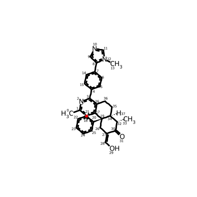 Cc1nc(-c2ccc(-c3cncn3C)cc2)c2c(n1)[C@@]1(c3ccccc3)C/C(=C/O)C(=O)[C@@H](C)[C@@H]1CC2